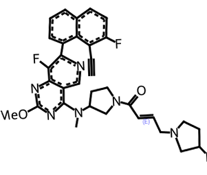 C#Cc1c(F)ccc2cccc(-c3ncc4c(N(C)C5CCN(C(=O)/C=C/CN6CCC(F)C6)C5)nc(OC)nc4c3F)c12